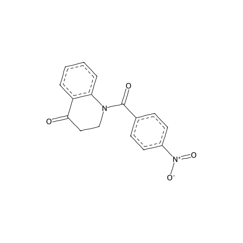 O=C1CCN(C(=O)c2ccc([N+](=O)[O-])cc2)c2ccccc21